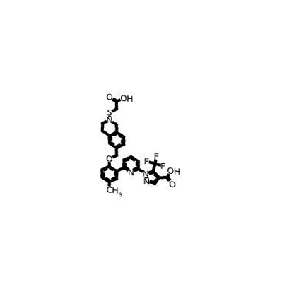 Cc1ccc(OCc2ccc3c(c2)CCN(SCC(=O)O)C3)c(-c2cccc(-n3ncc(C(=O)O)c3C(F)(F)F)n2)c1